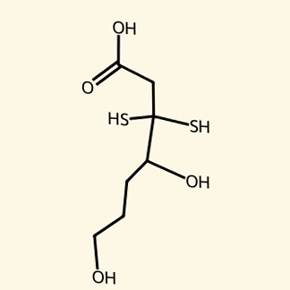 O=C(O)CC(S)(S)C(O)CCCO